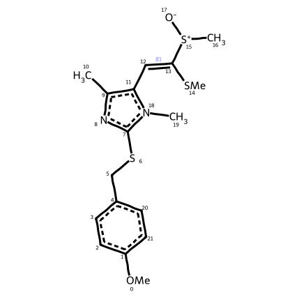 COc1ccc(CSc2nc(C)c(/C=C(\SC)[S+](C)[O-])n2C)cc1